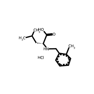 Cc1ccccc1CN[C@H](CC(C)C)C(=O)O.Cl